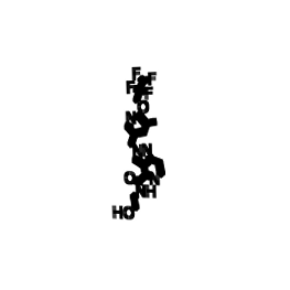 Cc1cc(Cn2cc3c(C(=O)NCCO)nccc3n2)cnc1OCC(F)(F)C(F)F